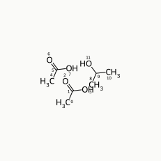 CC(=O)O.CC(=O)O.CC(C)O